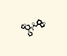 CN(C(=O)Cc1cccc2occc12)[C@H]1CC[C@@]2(CCCO2)C[C@H]1N1CCCC1